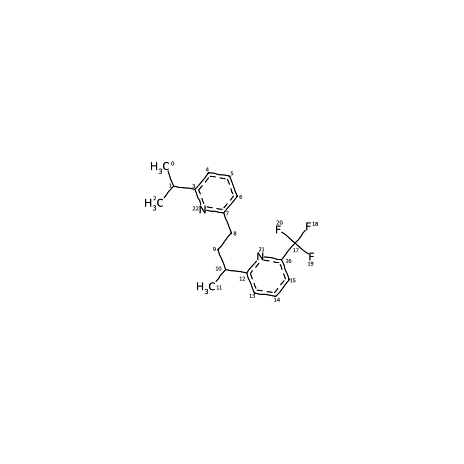 CC(C)c1cccc(CCC(C)c2cccc(C(F)(F)F)n2)n1